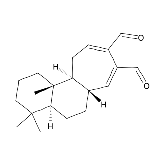 CC1(C)CCC[C@]2(C)[C@H]3CC=C(C=O)C(C=O)=C[C@@H]3CC[C@@H]12